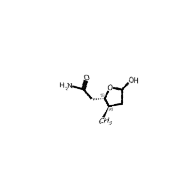 C[C@@H]1CC(O)O[C@H]1CC(N)=O